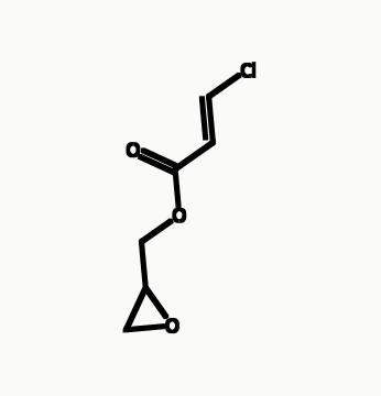 O=C(C=CCl)OCC1CO1